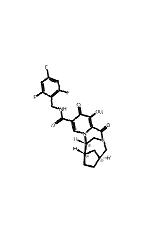 O=C(NCc1c(F)cc(F)cc1F)c1cn2c(c(O)c1=O)C(=O)N1C[C@H]3CC[C@@H](C3)[C@H]2C1